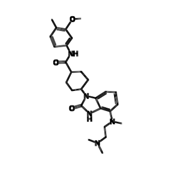 COc1cc(NC(=O)C2CCC(n3c(=O)[nH]c4c(N(C)CCN(C)C)cccc43)CC2)ccc1C